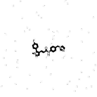 Cn1ncc(/C=C/C(=O)Nc2ccc(Cn3ccnc3)cc2)c1-c1ccc(F)cc1